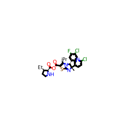 CC[C@@H]1CCN[C@@H]1C(=O)OC(=O)C1=C(C(C)C)N2C(=N[C@@](C)(c3ccc(Cl)nc3)[C@H]2c2ccc(Cl)c(F)c2)S1